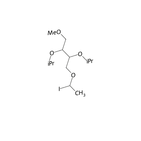 COCC(OC(C)C)C(COC(C)I)OC(C)C